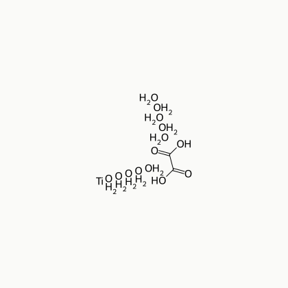 O.O.O.O.O.O.O.O.O.O.O=C(O)C(=O)O.[Ti]